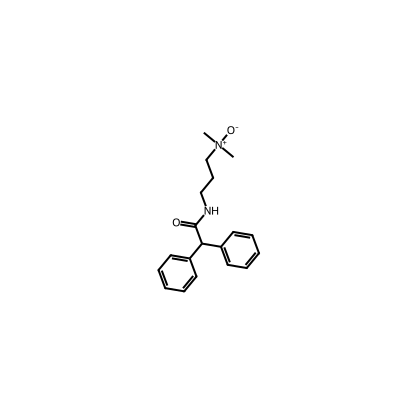 C[N+](C)([O-])CCCNC(=O)C(c1ccccc1)c1ccccc1